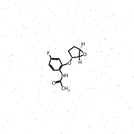 CC(=O)Nc1ccc(F)cc1O[C@H]1CC[C@H]2O[C@H]12